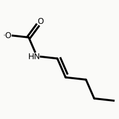 CCC/C=C/NC([O])=O